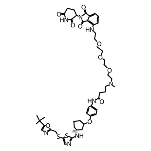 CN(CCCC(=O)Nc1ccc(OC2CCC[C@@H](Nc3ncc(SCc4ncc(C(C)(C)C)o4)s3)C2)cc1)CCOCCOCCOCCNc1cccc2c1C(=O)N(C1CCC(=O)NC1=O)C2=O